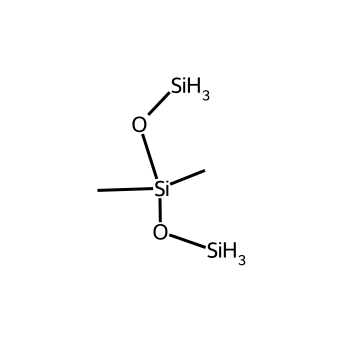 C[Si](C)(O[SiH3])O[SiH3]